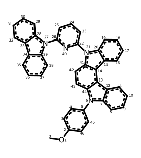 COc1ccc(-n2c3ccccc3c3c4c5ccccc5n(-c5cccc(-n6c7ccccc7c7ccccc76)n5)c4ccc32)cc1